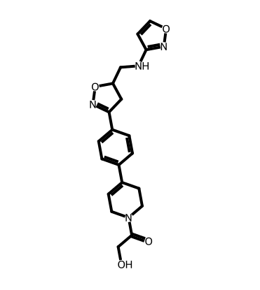 O=C(CO)N1CC=C(c2ccc(C3=NOC(CNc4ccon4)C3)cc2)CC1